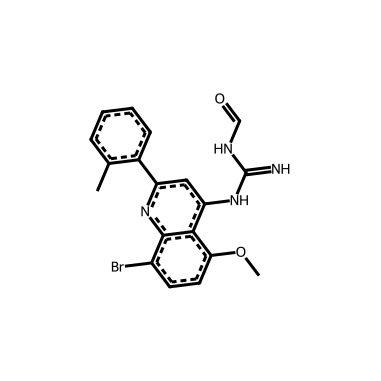 COc1ccc(Br)c2nc(-c3ccccc3C)cc(NC(=N)NC=O)c12